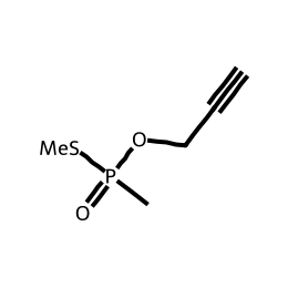 C#CCOP(C)(=O)SC